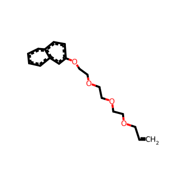 C=CCOCCOCCOCCOc1ccc2ccccc2c1